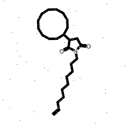 C=CCCCCCCCCN1C(=O)CC(C2CCCCCCCCCCC2)C1=O